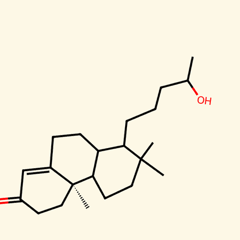 CC(O)CCCC1C2CCC3=CC(=O)CC[C@]3(C)C2CCC1(C)C